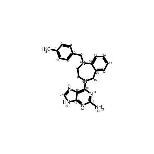 Cc1ccc(CN2CCN(c3nc(N)nc4[nH]cnc34)Cc3ccccc32)cc1